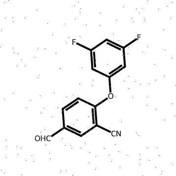 N#Cc1cc(C=O)ccc1Oc1cc(F)cc(F)c1